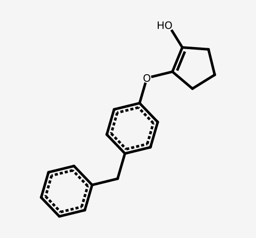 OC1=C(Oc2ccc(Cc3ccccc3)cc2)CCC1